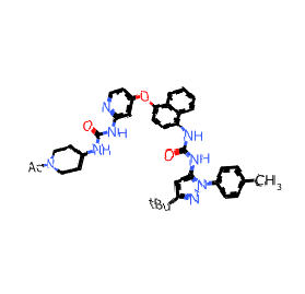 CC(=O)N1CCC(NC(=O)Nc2cc(Oc3ccc(NC(=O)Nc4cc(C(C)(C)C)nn4-c4ccc(C)cc4)c4ccccc34)ccn2)CC1